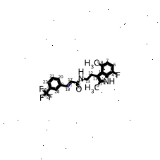 Cc1[nH]c2c(F)ccc(C)c2c1CCNC(=O)/C=C/c1cccc(C(F)(F)F)c1